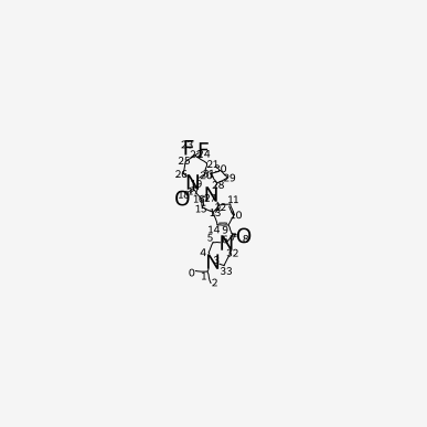 CC(C)N1CCN(C(=O)c2ccc3c(c2)cc(C(=O)N2CCC(F)(F)CC2)n3C2CCC2)CC1